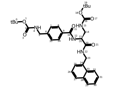 CC(C)(C)OC(=O)NCc1ccc(C(=O)N[C@@H](CNC(=O)OC(C)(C)C)C(=O)NCc2cccc3ccccc23)cc1